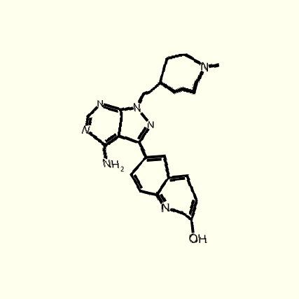 CN1CCC(Cn2nc(-c3ccc4nc(O)ccc4c3)c3c(N)ncnc32)CC1